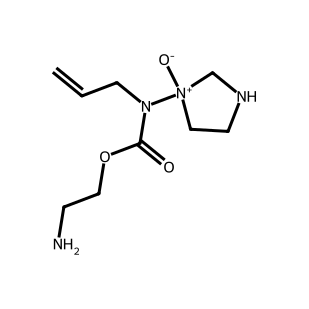 C=CCN(C(=O)OCCN)[N+]1([O-])CCNC1